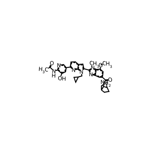 COc1cc(C(=O)N2CC3CCC2C3N)cc2nc(-c3cc4ccc(-c5cnc(NC(C)=O)c(O)c5)nc4n3CC3CC3)n(C)c12